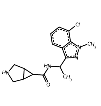 CC(NC(=O)C1C2CNCC21)c1nn(C)c2c(Cl)cccc12